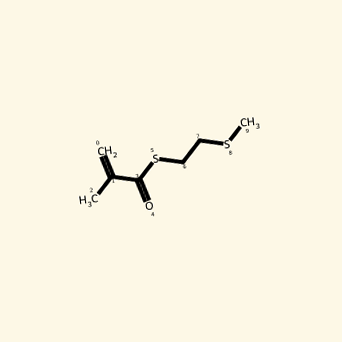 C=C(C)C(=O)SCCSC